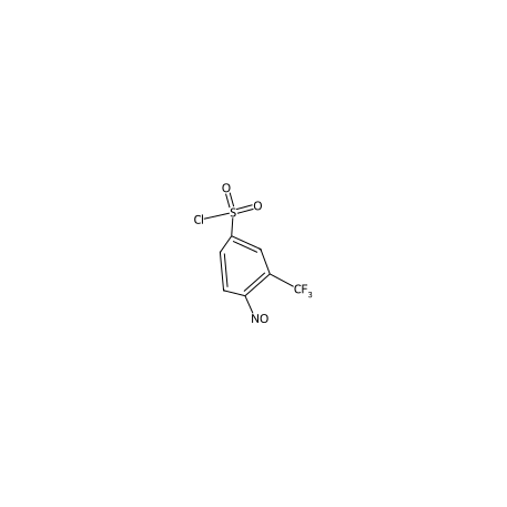 O=Nc1ccc(S(=O)(=O)Cl)cc1C(F)(F)F